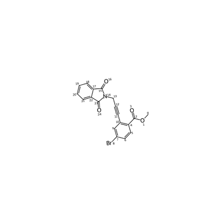 COC(=O)c1ccc(Br)cc1C#CCN1C(=O)c2ccccc2C1=O